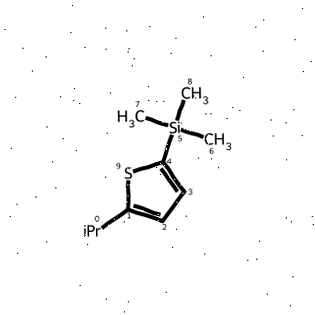 CC(C)c1ccc([Si](C)(C)C)s1